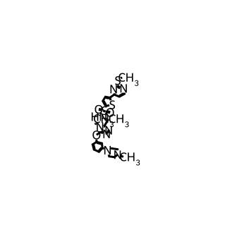 CCn1c(Oc2cccc(N3CCN(C)CC3)c2)nnc1[C@@H](C)NS(=O)(=O)c1ccc(-c2ccnc(SC)n2)s1